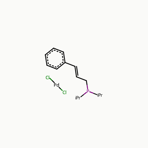 CC(C)P(CC=Cc1ccccc1)C(C)C.[Cl][Pd][Cl]